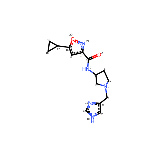 O=C(NC1CCN(Cc2c[nH]cn2)C1)c1cc(C2CC2)on1